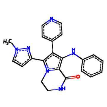 Cn1ccc(-c2c(-c3ccncc3)c(Nc3ccccc3)c3n2CCNC3=O)n1